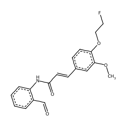 COc1cc(/C=C/C(=O)Nc2ccccc2C=O)ccc1OCCF